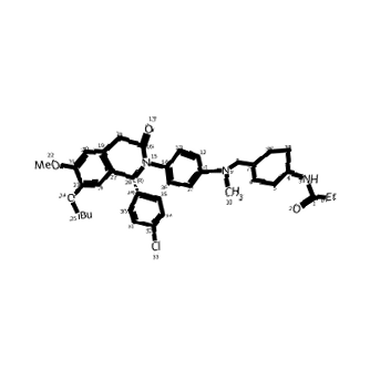 CCC(=O)NC1CCC(CN(C)c2ccc(N3C(=O)Cc4cc(OC)c(OC(C)CC)cc4[C@H]3c3ccc(Cl)cc3)cc2)CC1